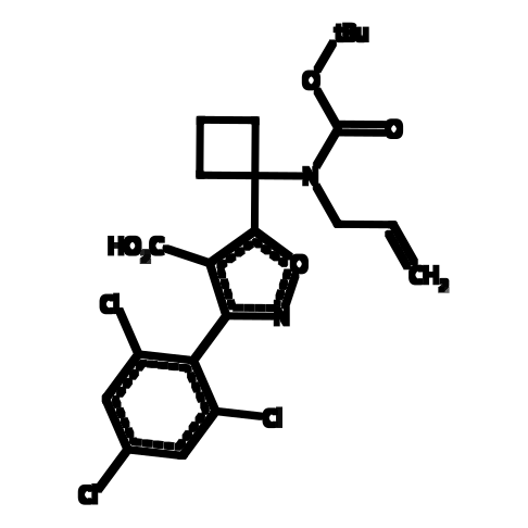 C=CCN(C(=O)OC(C)(C)C)C1(c2onc(-c3c(Cl)cc(Cl)cc3Cl)c2C(=O)O)CCC1